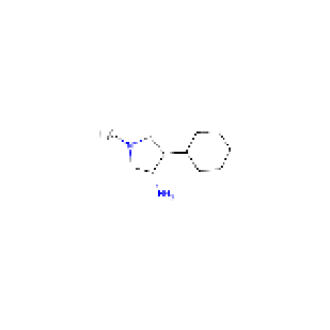 CN1C[C@@H](N)[C@H](C2CCCCC2)C1